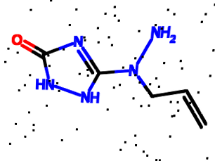 C=CCN(N)c1nc(=O)[nH][nH]1